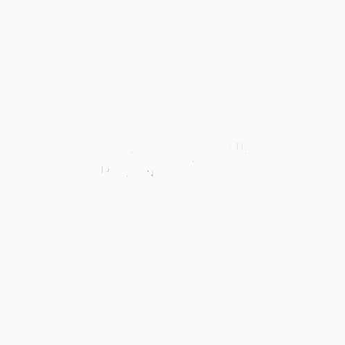 C=CCOc1cccc2c1CN(C(=O)OC(C)(C)C)C2